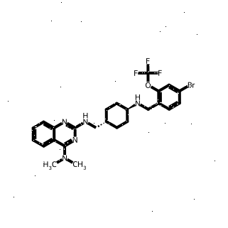 CN(C)c1nc(NC[C@H]2CC[C@H](NCc3ccc(Br)cc3OC(F)(F)F)CC2)nc2ccccc12